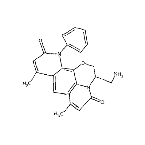 Cc1cc(=O)n(-c2ccccc2)c2c3c4c(cc12)c(C)cc(=O)n4C(CN)CO3